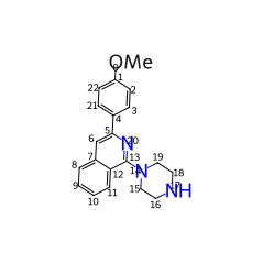 COc1ccc(-c2cc3ccccc3c(N3CCNCC3)n2)cc1